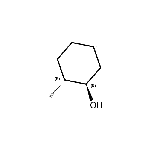 C[C@@H]1CC[CH]C[C@H]1O